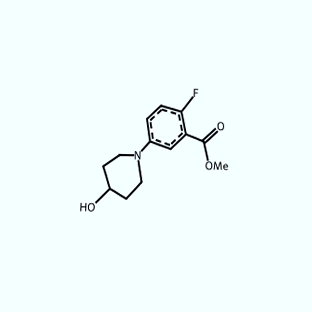 COC(=O)c1cc(N2CCC(O)CC2)ccc1F